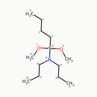 CCCC[Si](OC)(OC)N(CCC)CCC